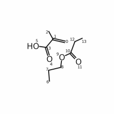 C=C(C)C(=O)O.CCCOC(=O)CC